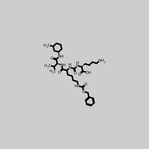 CC1CCC[C@@H](NC(=O)[C@@H](NC(=O)C(CCCCNC(=O)OCc2ccccc2)NC(=O)N[C@@H](CCCCN)C(=O)O)C(C)C)C1